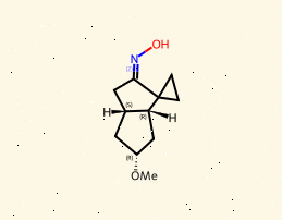 CO[C@@H]1C[C@@H]2C/C(=N/O)C3(CC3)[C@@H]2C1